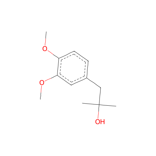 COc1ccc(CC(C)(C)O)cc1OC